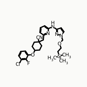 C[Si](C)(C)CCOCn1ccc(Nc2cccc(CC3(C#N)CCC(Oc4cccc(Cl)c4F)CC3)n2)n1